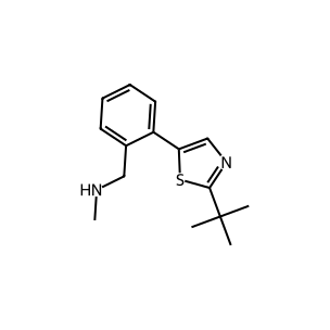 CNCc1ccccc1-c1cnc(C(C)(C)C)s1